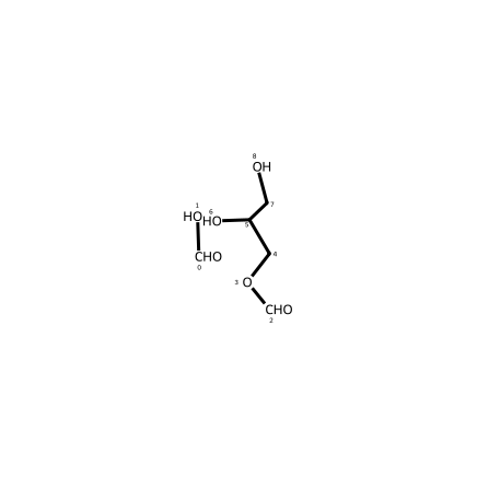 O=CO.O=COCC(O)CO